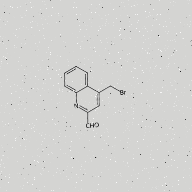 O=Cc1cc(CBr)c2ccccc2n1